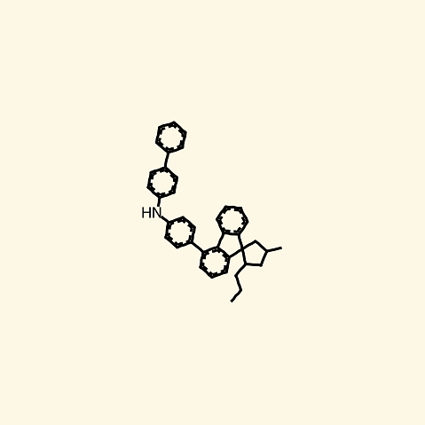 CCCC1CC(C)CC12c1ccccc1-c1c(-c3ccc(Nc4ccc(-c5ccccc5)cc4)cc3)cccc12